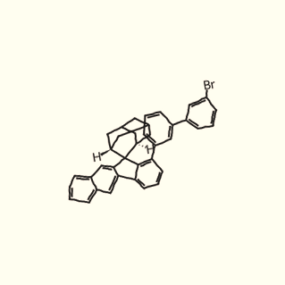 Brc1cccc(-c2cccc(-c3cccc4c3C3(c5cc6ccccc6cc5-4)[C@H]4CC5CC(C[C@H]3C5)C4)c2)c1